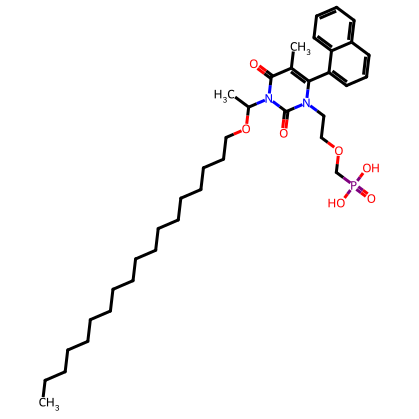 CCCCCCCCCCCCCCCCCCOC(C)n1c(=O)c(C)c(-c2cccc3ccccc23)n(CCOCP(=O)(O)O)c1=O